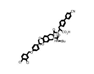 CC(C)(C)NC(=O)N1Cc2cc3c(cc2C[C@H]1C(=O)NC(Cc1ccc(-c2ccc(C#N)cc2)cc1)C(=O)O)OC[C@H](c1ccc(OCc2ccc(Cl)c(Cl)c2)cc1)O3